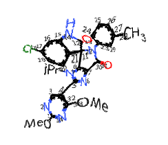 COc1ncc(-c2nc3c(n2C(C)C)C2(C(=O)Nc4cc(Cl)ccc42)N(c2cccc(C)c2)C3=O)c(OC)n1